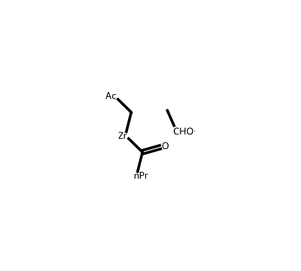 CCC[C](=O)[Zr][CH2]C(C)=O.C[C]=O